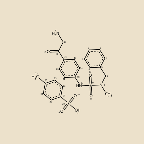 CN(Cc1ccccc1)S(=O)(=O)Nc1ccc(C(=O)CN)cc1.Cc1ccc(S(=O)(=O)O)cc1